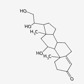 CC12CCC(=O)C=C1CCC1C2C(O)CC2(C)C(C(O)CO)CCC12